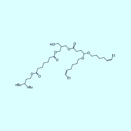 CC/C=C\CCCCOC(CCC(=O)OCC(CO)COC(=O)CCCCCC(=O)OCCC(CCCC)CCCC)OCCCC/C=C\CC